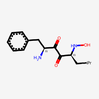 CC(C)C[C@H](NO)C(=O)C(=O)[C@@H](N)Cc1ccccc1